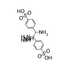 NC(c1ccc(S(=O)(=O)O)cc1)C(N)c1ccc(S(=O)(=O)O)cc1.[NaH].[NaH]